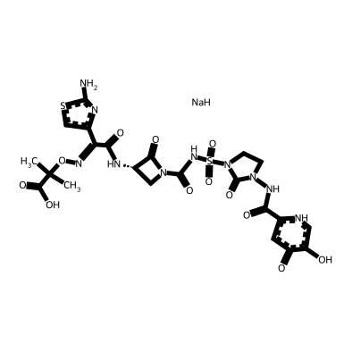 CC(C)(ON=C(C(=O)N[C@H]1CN(C(=O)NS(=O)(=O)N2CCN(NC(=O)c3cc(=O)c(O)c[nH]3)C2=O)C1=O)c1csc(N)n1)C(=O)O.[NaH]